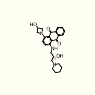 O=C1c2ccccc2C(=O)c2c(N3CC(O)C3)ccc(NC[C@H](O)CN3CCCCC3)c21